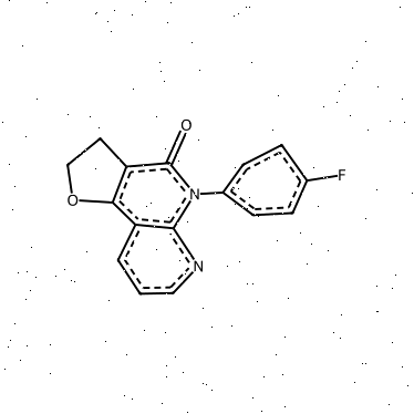 O=c1c2c(c3cccnc3n1-c1ccc(F)cc1)OCC2